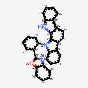 c1ccc(-n2c3ccccc3c3ccc4c5ccccc5[nH]c4c32)c(-c2nc3ccccc3o2)c1